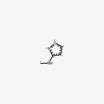 CNc1ccon1